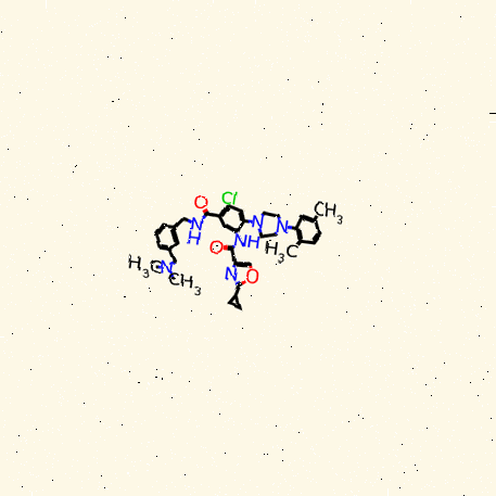 Cc1ccc(C)c(N2CCN(c3cc(Cl)c(C(=O)NCc4cccc(CN(C)C)c4)cc3NC(=O)c3coc(C4CC4)n3)CC2)c1